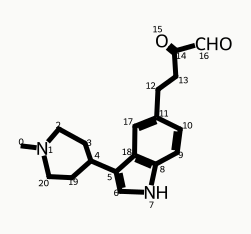 CN1CCC(c2c[nH]c3ccc(CCC(=O)C=O)cc23)CC1